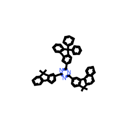 CC1(C)c2ccccc2-c2ccc(-c3nc(-c4ccc5c(c4)-c4c(ccc6ccccc46)C5(C)C)nc(-c4ccc5c(c4)-c4ccccc4C5(c4ccccc4)c4ccccc4)n3)cc21